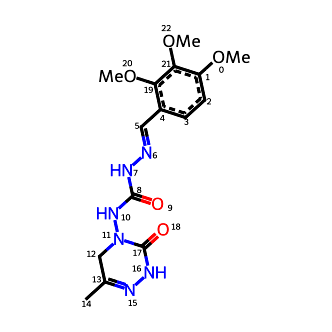 COc1ccc(/C=N/NC(=O)NN2CC(C)=NNC2=O)c(OC)c1OC